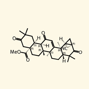 COC(=O)[C@@]12CC[C@]3(C)[C@H](C(=O)C=C4[C@@]5(C)[C@H]6C[C@@]6(C#N)C(=O)C(C)(C)[C@@H]5CC[C@]43C)[C@@H]1CC(C)(C)C(=O)C2